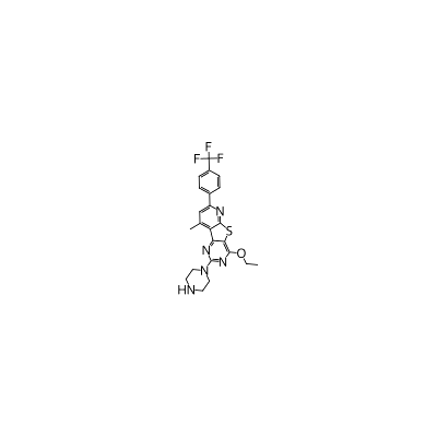 CCOc1nc(N2CCNCC2)nc2c1sc1nc(-c3ccc(C(F)(F)F)cc3)cc(C)c12